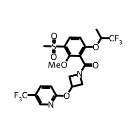 COc1c(S(C)(=O)=O)ccc(OC(C)C(F)(F)F)c1C(=O)N1CC(Oc2ccc(C(F)(F)F)cn2)C1